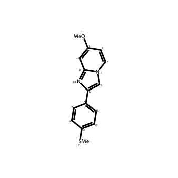 COc1ccn2cc(-c3ccc(SC)cc3)nc2c1